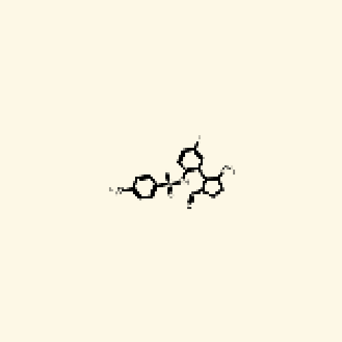 CC1=C(c2cc(F)ccc2NS(=O)(=O)c2ccc(C)cc2)C(C=O)CC1